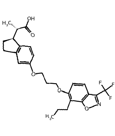 CCCc1c(OCCCOc2ccc3c(c2)CC[C@H]3[C@H](C)C(=O)O)ccc2c(C(F)(F)F)noc12